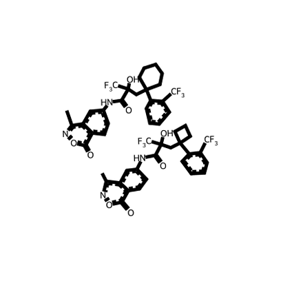 Cc1noc(=O)c2ccc(NC(=O)C(O)(CC3(c4ccccc4C(F)(F)F)CCC3)C(F)(F)F)cc12.Cc1noc(=O)c2ccc(NC(=O)C(O)(CC3(c4ccccc4C(F)(F)F)CCCCC3)C(F)(F)F)cc12